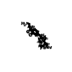 NCCNC(=O)c1ccc(Nc2nccn3c(-c4c[nH]nc4C(F)(F)F)cnc23)cc1Cl